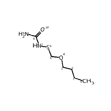 CCCCOCSNC(N)=O